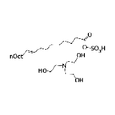 CCCCCCCCC=CCCCCCCCC(=O)OS(=O)(=O)O.OCCN(CCO)CCO